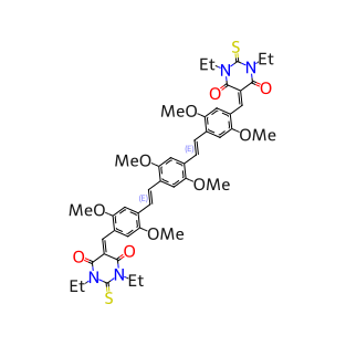 CCN1C(=O)C(=Cc2cc(OC)c(/C=C/c3cc(OC)c(/C=C/c4cc(OC)c(C=C5C(=O)N(CC)C(=S)N(CC)C5=O)cc4OC)cc3OC)cc2OC)C(=O)N(CC)C1=S